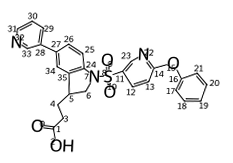 O=C(O)CCC1CN(S(=O)(=O)c2ccc(Oc3ccccc3)nc2)c2ccc(-c3cccnc3)cc21